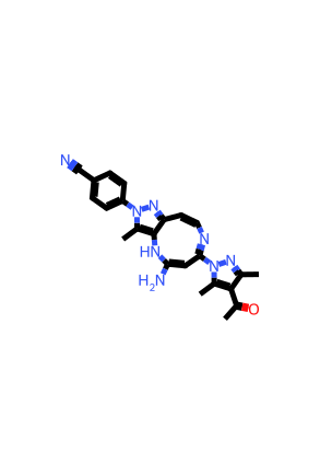 CC(=O)c1c(C)nn(-c2cc(N)[nH]c3c(C)n(-c4ccc(C#N)cc4)nc3ccn2)c1C